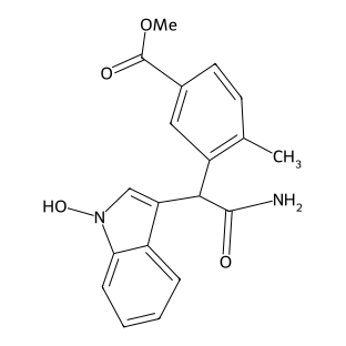 COC(=O)c1ccc(C)c(C(C(N)=O)c2cn(O)c3ccccc23)c1